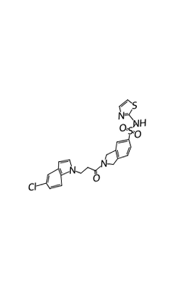 O=C(CCn1ccc2cc(Cl)ccc21)N1Cc2ccc(S(=O)(=O)Nc3nccs3)cc2C1